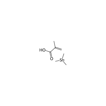 C=C(C)C(=O)O.[CH3][Sn]([CH3])[CH3]